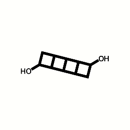 OC1CC2C1C1C3CC(O)C3C21